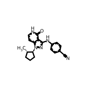 C[C@H]1CCC[C@@H]1n1nc(Nc2ccc(C#N)cc2)c2c(=O)[nH]ccc21